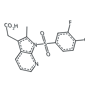 Cc1c(CC(=O)O)c2cccnc2n1S(=O)(=O)c1ccc(Cl)c(F)c1